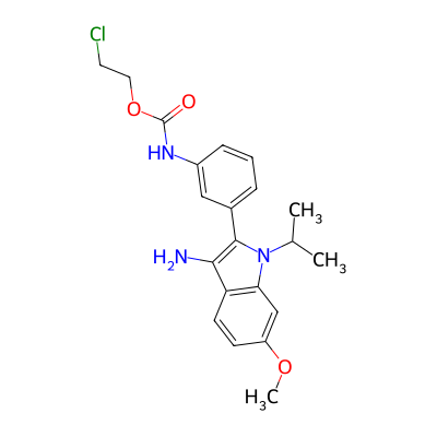 COc1ccc2c(N)c(-c3cccc(NC(=O)OCCCl)c3)n(C(C)C)c2c1